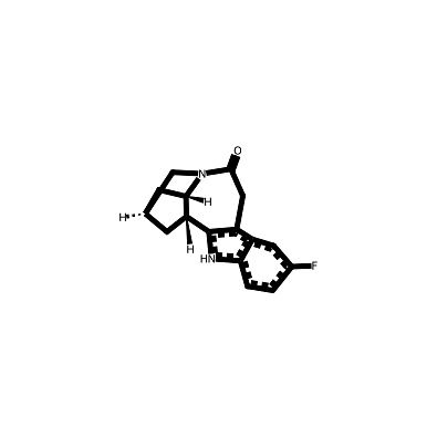 O=C1Cc2c([nH]c3ccc(F)cc23)[C@@H]2C[C@H]3C[C@@H]2N1C3